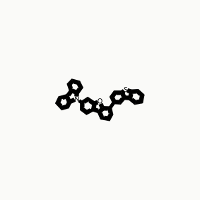 c1ccc2c(c1)sc1ccc(-c3cccc4c3oc3cc(-n5c6ccccc6c6ccccc65)ccc34)cc12